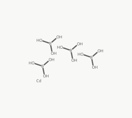 OB(O)O.OB(O)O.OB(O)O.OB(O)O.[Cd]